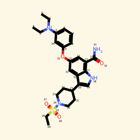 CCN(CC)c1cccc(Oc2cc(C(N)=O)c3[nH]cc(C4CCN(S(=O)(=O)CC)CC4)c3c2)c1